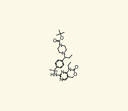 CCC(c1ccc([C@H](C)Nc2ncc3c(n2)N(CC)C(=O)OC3)cc1)N1CCN(C(=O)OC(C)(C)C)CC1